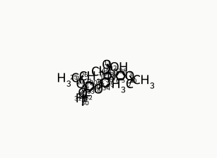 CC(C)Oc1ccc(-n2c(C(=O)O)c(Cl)c3cc(Oc4ccc(OC(C)C)c(OC(F)(F)F)c4)ccc32)cc1